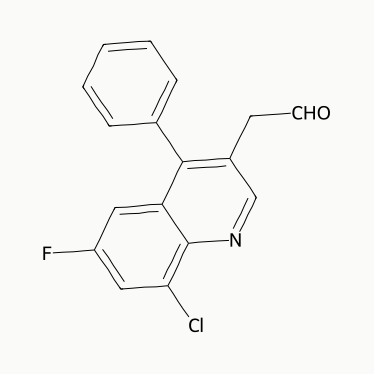 O=CCc1cnc2c(Cl)cc(F)cc2c1-c1ccccc1